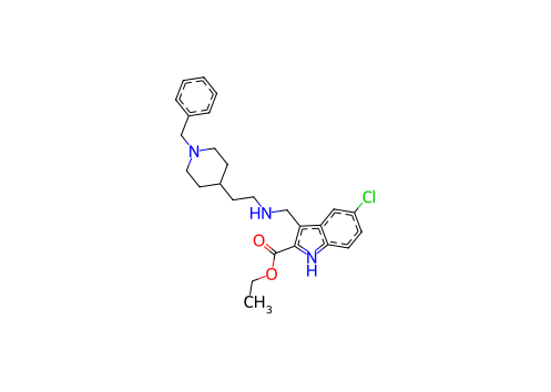 CCOC(=O)c1[nH]c2ccc(Cl)cc2c1CNCCC1CCN(Cc2ccccc2)CC1